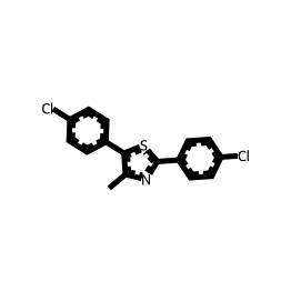 Cc1nc(-c2ccc(Cl)cc2)sc1-c1ccc(Cl)cc1